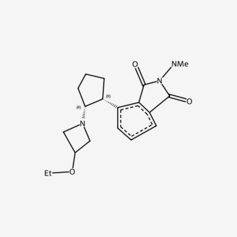 CCOC1CN([C@@H]2CCC[C@@H]2c2cccc3c2C(=O)N(NC)C3=O)C1